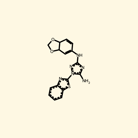 Nc1nc(NC2=CC3OCOC3C=C2)nn1-c1nc2ccccc2s1